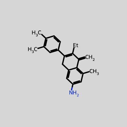 C=C1C(CC)=C(c2ccc(C)c(C)c2)Cc2cc(N)cc(C)c21